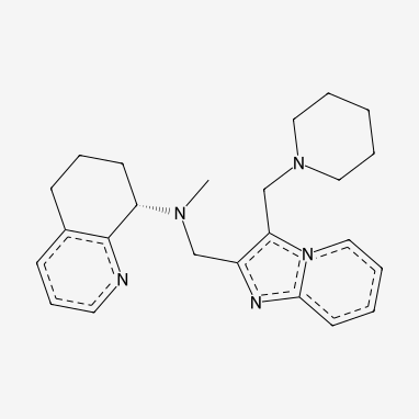 CN(Cc1nc2ccccn2c1CN1CCCCC1)[C@H]1CCCc2cccnc21